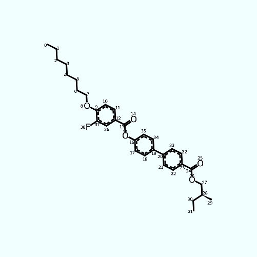 CCCCCCCCOc1ccc(C(=O)Oc2ccc(-c3ccc(C(=O)OC[C@@H](C)CC)cc3)cc2)cc1F